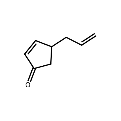 C=CCC1C=CC(=O)C1